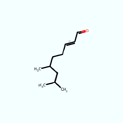 CC(C)CC(C)CC/C=C/C=O